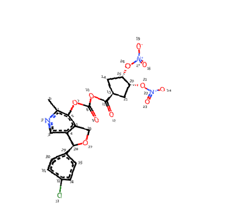 Cc1ncc2c(c1OC(=O)OC(=O)[C@H]1C[C@H](O[N+](=O)[O-])[C@H](O[N+](=O)[O-])C1)CO[C@H]2c1ccc(Cl)cc1